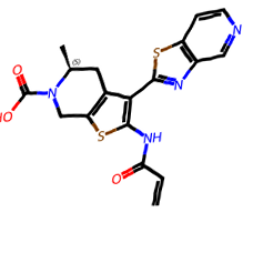 C=CC(=O)Nc1sc2c(c1-c1nc3cnccc3s1)C[C@H](C)N(C(=O)O)C2